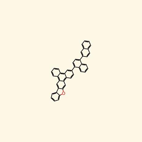 c1ccc2cc(-c3ccc(-c4ccc5c(c4)c4ccccc4c4cc6c(cc54)oc4ccccc46)c4ccccc34)ccc2c1